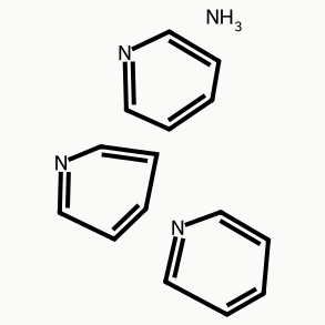 N.c1ccncc1.c1ccncc1.c1ccncc1